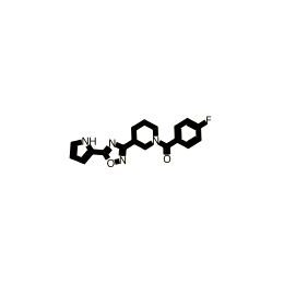 O=C(c1ccc(F)cc1)N1CCCC(c2noc(-c3ccc[nH]3)n2)C1